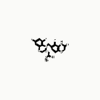 N=NC(=N)C[C@@H]1COc2cc(F)cc(F)c2N1Cc1ccc2c(c1F)NC(=O)CO2